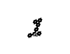 c1ccc(-c2cc(-c3ccc(-c4ccc5c6ccccc6c6ccccc6c5c4)cc3)n3c(n2)nc2ccccc23)cc1